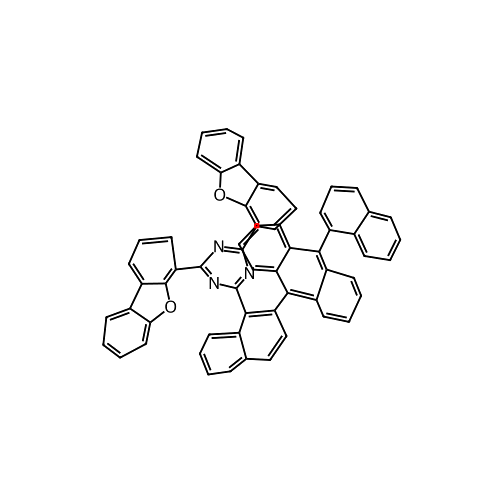 c1ccc2c(-c3c4ccccc4c(-c4ccc5ccccc5c4-c4nc(-c5cccc6c5oc5ccccc56)nc(-c5cccc6c5oc5ccccc56)n4)c4ccccc34)cccc2c1